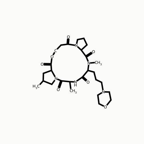 CC1CC2C(=O)OCCC(=O)N3CCCC3C(=O)N(C)C(CCCN3CCOCC3)C(=O)NC(C)C(=O)N2C1